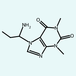 CCC(N)n1cnc2c1c(=O)n(C)c(=O)n2C